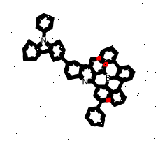 c1ccc(-c2ccc3c(c2)-c2nc4ccc(-c5ccc6c(c5)c5ccccc5n6-c5ccccc5)cc4c4cccc(c24)B3c2c(-c3ccccc3)cccc2-c2ccccc2)cc1